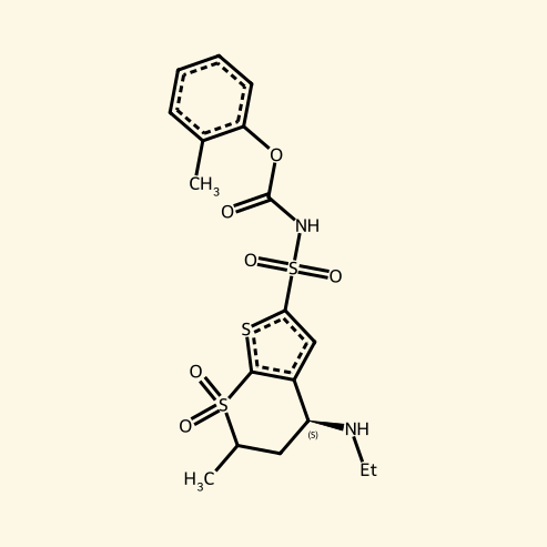 CCN[C@H]1CC(C)S(=O)(=O)c2sc(S(=O)(=O)NC(=O)Oc3ccccc3C)cc21